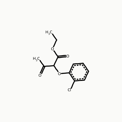 CCOC(=O)C(Oc1ccccc1Cl)C(C)=O